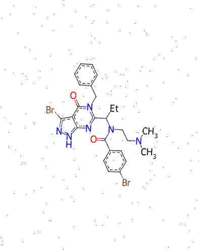 CCC(c1nc2[nH]nc(Br)c2c(=O)n1Cc1ccccc1)N(CCN(C)C)C(=O)c1ccc(Br)cc1